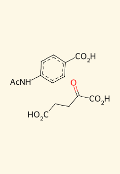 CC(=O)Nc1ccc(C(=O)O)cc1.O=C(O)CCC(=O)C(=O)O